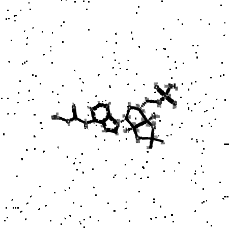 CC(C)(C)OC(=O)Nc1ncnc2c1ncn2[C@@H]1O[C@H](COS(N)(=O)=O)[C@H]2OC(C)(C)O[C@H]21